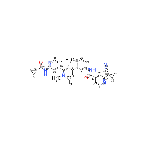 C=N/C(=C\C(=C/C)c1cc(NC(=O)c2ccnc(C3(C#N)CC3)c2)ccc1C)c1ccnc(NC(=O)C2CC2)c1